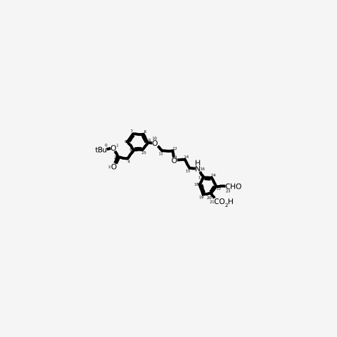 CC(C)(C)OC(=O)Cc1cccc(OCCOCCNc2ccc(C(=O)O)c(C=O)c2)c1